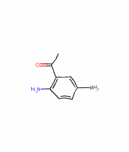 Bc1ccc(N)c(C(C)=O)c1